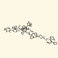 Cc1cc(C(=O)N2Cc3cc4c(cc3C[C@H]2C(=O)NC(Cc2ccc(-c3ccnc(C)c3C)cc2)C(=O)O)OC[C@H](c2ccc(OCc3ccc(Cl)c(Cl)c3)cc2)O4)no1